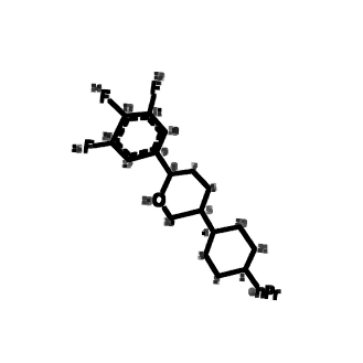 CCCC1CCC(C2CCC(c3cc(F)c(F)c(F)c3)OC2)CC1